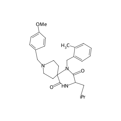 COc1ccc(CN2CCC3(CC2)C(=O)NC(CC(C)C)C(=O)N3Cc2ccccc2C)cc1